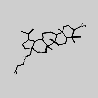 C=C(C)C1CCC2(CNCCCl)CCC3(C)C(CCC4C5(C)CCC(O)C(C)(C)C5CCC43C)C12